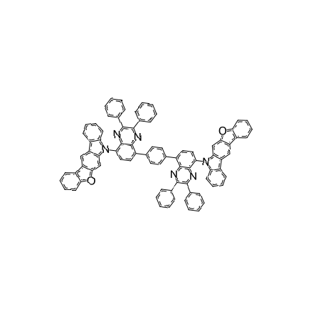 c1ccc(-c2nc3c(-c4ccc(-c5ccc(-n6c7ccccc7c7cc8c(cc76)oc6ccccc68)c6nc(-c7ccccc7)c(-c7ccccc7)nc56)cc4)ccc(-n4c5ccccc5c5cc6c(cc54)oc4ccccc46)c3nc2-c2ccccc2)cc1